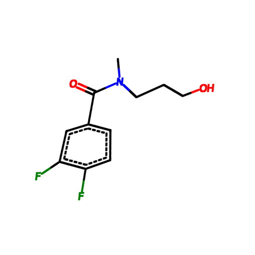 CN(CCCO)C(=O)c1ccc(F)c(F)c1